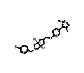 Cc1cnn(C)c1-c1ccc(OCC2C[C@@H]3CN(Cc4ccc(F)cc4)C[C@@H]3C2)nn1